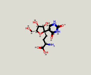 NC(CC[C@@]1(c2c[nH]c(=O)[nH]c2=O)O[C@H](CO)[C@@H](O)[C@H]1O)C(=O)O